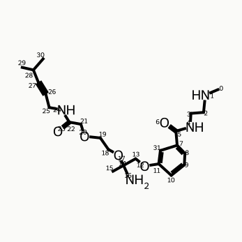 CNCCNC(=O)c1cccc(OCC(C)(N)OCCOCC(=O)NCC#CC(C)C)c1